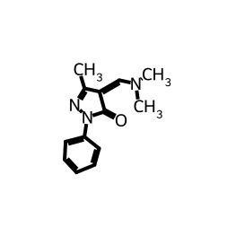 CC1=NN(c2ccccc2)C(=O)C1=CN(C)C